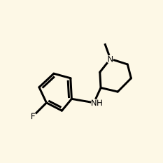 CN1CCCC(Nc2cccc(F)c2)C1